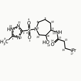 Cc1nc(S(=O)(=O)N2CCCC(NC(=O)CCC(C)C)C(O)C2)n[nH]1